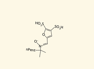 CCCCCC(C)(C)[N+]([O-])=Cc1cc(S(=O)(=O)O)c(S(=O)(=O)O)o1